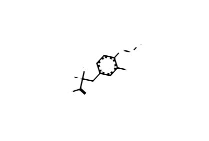 C[C@@](N)(Cc1ccc(OBO)c(Cl)c1)C(=O)O